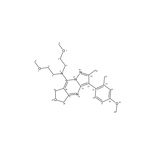 COCCN(CCOC)c1c2c(nc3c(-c4ccc(OC)cc4C)c(C)nn13)COC2